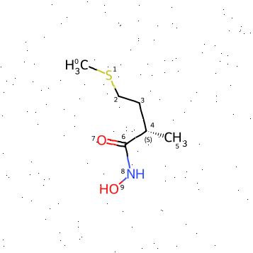 CSCC[C@H](C)C(=O)NO